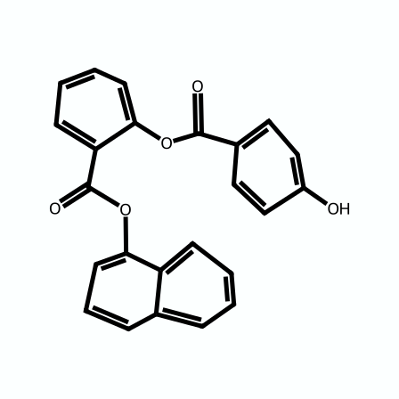 O=C(Oc1ccccc1C(=O)Oc1cccc2ccccc12)c1ccc(O)cc1